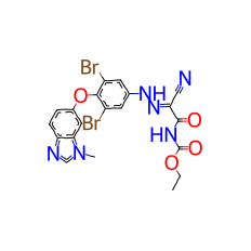 CCOC(=O)NC(=O)/C(C#N)=N/Nc1cc(Br)c(Oc2ccc3ncn(C)c3c2)c(Br)c1